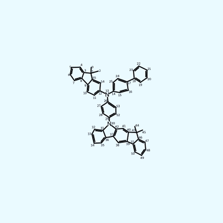 CC1(C)c2ccccc2-c2ccc(N(c3ccc(-c4ccccc4)cc3)c3ccc(-n4c5ccccc5c5cc6c(cc54)C(C)(C)c4ccccc4-6)cc3)cc21